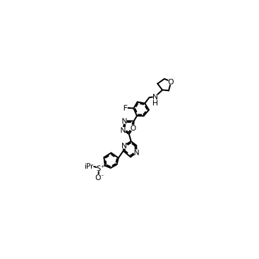 CC(C)[S+]([O-])c1ccc(-c2cncc(-c3nnc(-c4ccc(CNC5CCOC5)cc4F)o3)n2)cc1